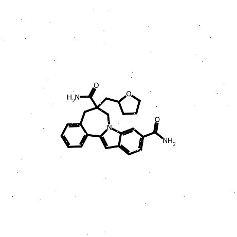 NC(=O)c1ccc2cc3n(c2c1)CC(CC1CCCO1)(C(N)=O)Cc1ccccc1-3